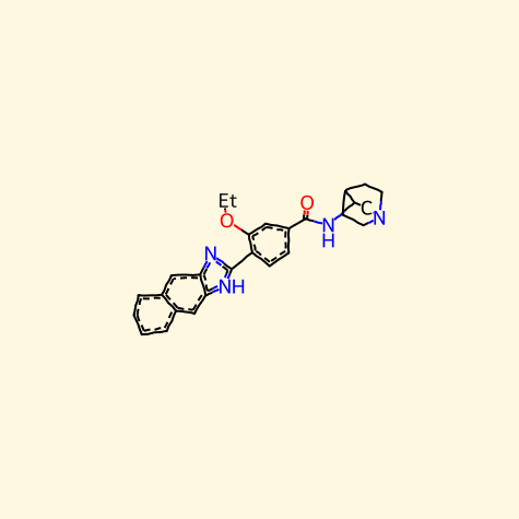 CCOc1cc(C(=O)NC2CN3CCC2CC3)ccc1-c1nc2cc3ccccc3cc2[nH]1